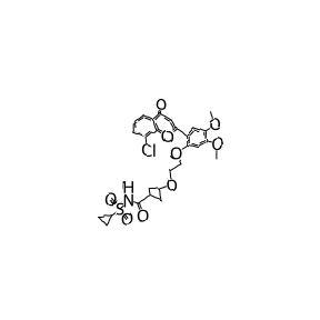 COc1cc(OCCOC2CC(C(=O)NS(=O)(=O)C3CC3)C2)c(-c2cc(=O)c3cccc(Cl)c3o2)cc1OC